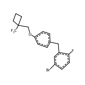 Fc1ccc(Br)cc1Cc1ccc(OCC2(C(F)(F)F)CCC2)cc1